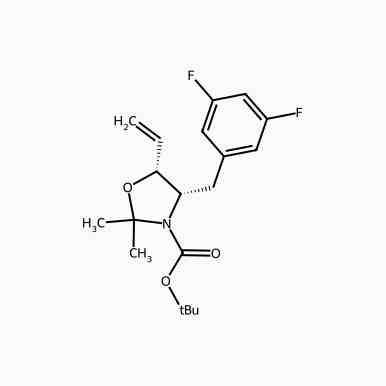 C=C[C@H]1OC(C)(C)N(C(=O)OC(C)(C)C)[C@H]1Cc1cc(F)cc(F)c1